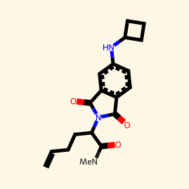 C=CCCC(C(=O)NC)N1C(=O)c2ccc(NC3CCC3)cc2C1=O